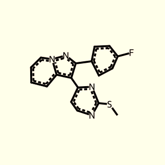 CSc1nccc(-c2c(-c3ccc(F)cc3)nn3ccccc23)n1